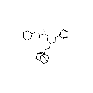 CN(CCC(C[CH]c1ccncc1)CCC12CC3CC(CC(C3)C1)C2)C(=O)OC1CCCCC1